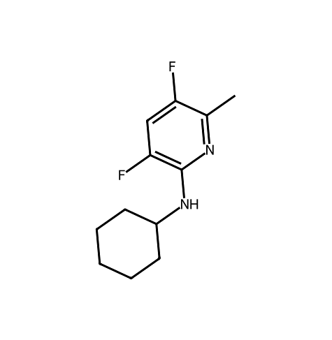 Cc1nc(NC2CCCCC2)c(F)cc1F